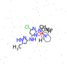 COC(=O)N1[C@@H]2CCC[C@H]1C[C@H](N(C)c1nc(Cl)cc(Nc3cc(C)[nH]n3)n1)C2